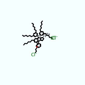 CCCCCCc1cc(CCCCCC)cc([Si](C2=[C]([Ti+3])CC=C2Cc2ccccc2)(c2cc(CCCCCC)cc(CCCCCC)c2)c2cc(CCCCCC)cc(CCCCCC)c2)c1.[Cl-].[Cl-].[Cl-]